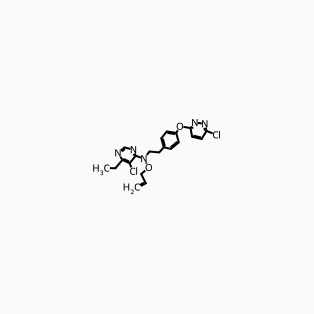 C=CCON(CCc1ccc(Oc2ccc(Cl)nn2)cc1)c1ncnc(CC)c1Cl